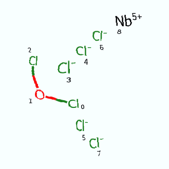 ClOCl.[Cl-].[Cl-].[Cl-].[Cl-].[Cl-].[Nb+5]